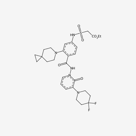 CCOC(=O)CS(=O)(=O)Nc1ccc(C(=O)Nn2cccc(N3CCC(F)(F)CC3)c2=O)c(N2CCC3(CC2)CC3)c1